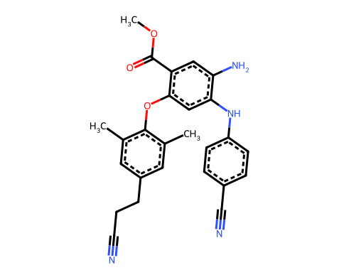 COC(=O)c1cc(N)c(Nc2ccc(C#N)cc2)cc1Oc1c(C)cc(CCC#N)cc1C